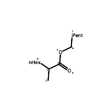 CCCCCCC(C)C(=O)OCC(C)CCC